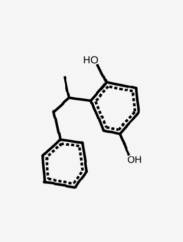 CC(Cc1ccccc1)c1cc(O)ccc1O